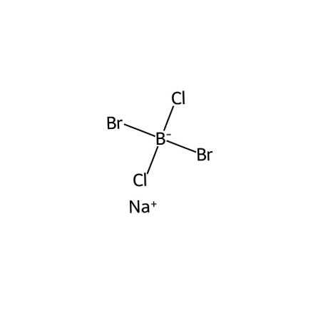 Cl[B-](Cl)(Br)Br.[Na+]